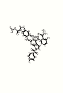 CCNC(=O)c1c(F)cccc1Nc1nc(Nc2cc3c(cc2OC)CCN3C(=O)CN(C)C)nc2c1ccn2S(=O)(=O)c1ccc(C)cc1